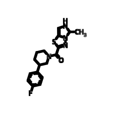 CC1NC=C2SC(C(=O)N3CCCC(c4ccc(F)cc4)C3)=NN21